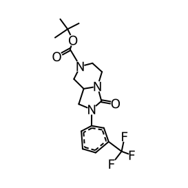 CC(C)(C)OC(=O)N1CCN2C(=O)N(c3cccc(C(F)(F)F)c3)CC2C1